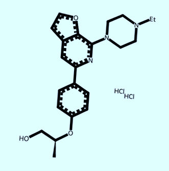 CCN1CCN(c2nc(-c3ccc(O[C@@H](C)CO)cc3)cc3ccoc23)CC1.Cl.Cl